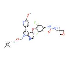 COc1ccc(-c2cn(COCC[Si](C)(C)C)c3nccc(Oc4c(F)cc(NC(=O)NCC5(C)COC5)cc4F)c23)cn1